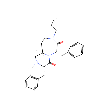 CC(=O)N1C[C@H]2CCN(CCC(C)C)C(=O)[C@H](Cc3ccccc3)N2C(=O)[C@@H]1Cc1ccccc1